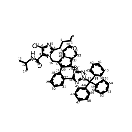 CCCCc1nc(Cl)c(C(=O)NC(C)C)n1Cc1c2ccocc-2c(Br)c1-c1ccccc1-c1nnn(C(c2ccccc2)(c2ccccc2)c2ccccc2)n1